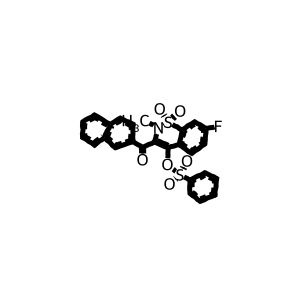 CN1C(C(=O)c2ccc3ccccc3c2)=C(OS(=O)(=O)c2ccccc2)c2ccc(F)cc2S1(=O)=O